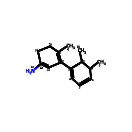 CC1=C(C2=CC=CC(C)C2C)C=C(N)CC1